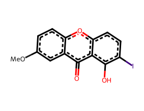 COc1ccc2oc3ccc(I)c(O)c3c(=O)c2c1